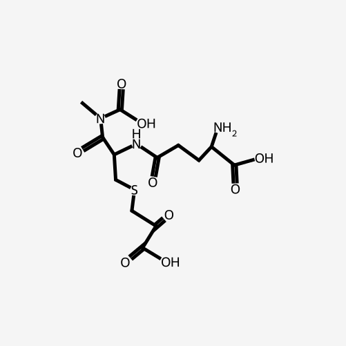 CN(C(=O)O)C(=O)C(CSCC(=O)C(=O)O)NC(=O)CCC(N)C(=O)O